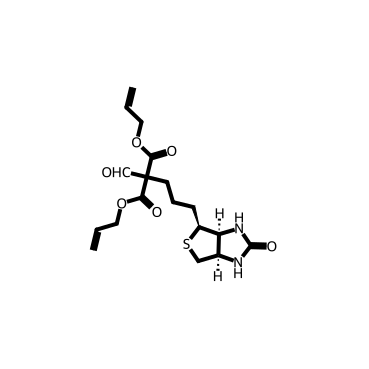 C=CCOC(=O)C(C=O)(CCC[C@@H]1SC[C@@H]2NC(=O)N[C@@H]21)C(=O)OCC=C